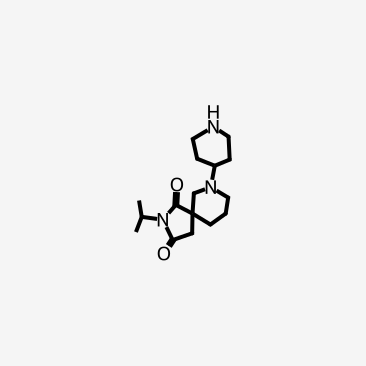 CC(C)N1C(=O)CC2(CCCN(C3CCNCC3)C2)C1=O